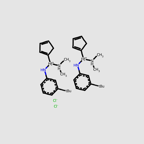 C[SiH](C)[Hf+]([NH]c1cccc(C(C)(C)C)c1)[C]1=CC=CC1.C[SiH](C)[Hf+]([NH]c1cccc(C(C)(C)C)c1)[C]1=CC=CC1.[Cl-].[Cl-]